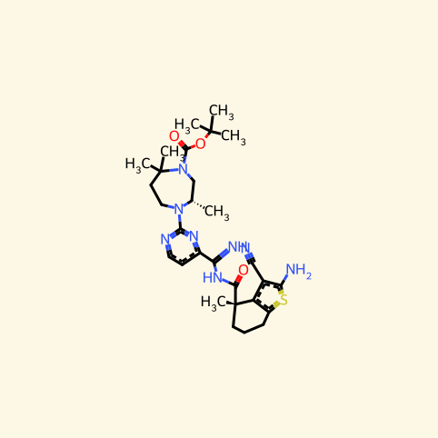 C[C@H]1CN(C(=O)OC(C)(C)C)C(C)(C)CCN1c1nccc(C(=N)NC(=O)[C@@]2(C)CCCc3sc(N)c(C#N)c32)n1